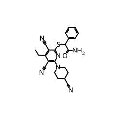 CCc1c(C#N)c(SC(C(N)=O)c2ccccc2)nc(N2CCC(C#N)CC2)c1C#N